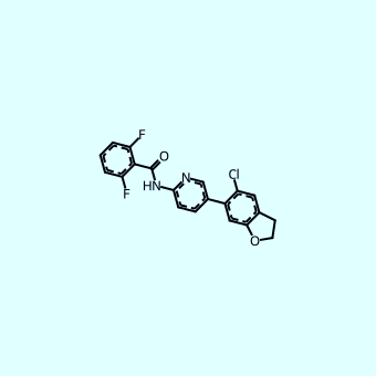 O=C(Nc1ccc(-c2cc3c(cc2Cl)CCO3)cn1)c1c(F)cccc1F